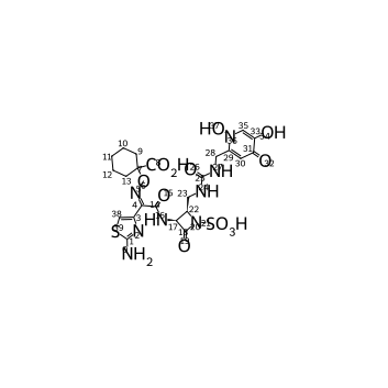 Nc1nc(C(=NOC2(C(=O)O)CCCCC2)C(=O)N[C@@H]2C(=O)N(S(=O)(=O)O)[C@@H]2CNC(=O)NCc2cc(=O)c(O)cn2O)cs1